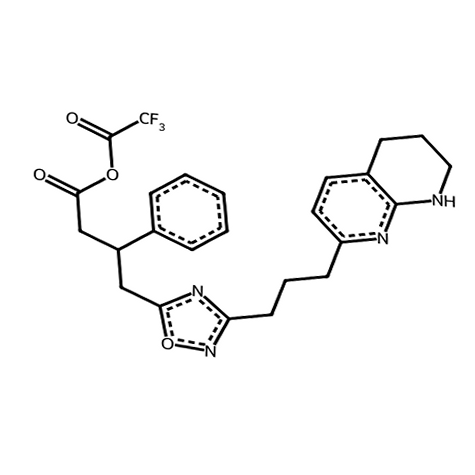 O=C(CC(Cc1nc(CCCc2ccc3c(n2)NCCC3)no1)c1ccccc1)OC(=O)C(F)(F)F